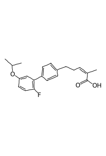 CC(=CCCc1ccc(-c2cc(OC(C)C)ccc2F)cc1)C(=O)O